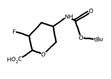 CC(C)(C)OC(=O)NC1COC(C(=O)O)C(F)C1